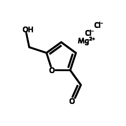 O=Cc1ccc(CO)o1.[Cl-].[Cl-].[Mg+2]